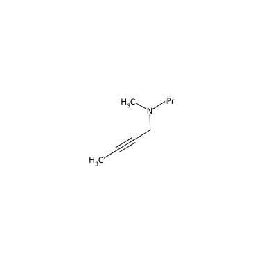 CC#CCN(C)C(C)C